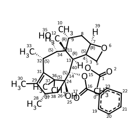 CC(=O)O[C@@]12CO[C@@H]1C[C@@H](C)[C@]1(C)[C@@H]2[C@H](OC(=O)c2ccccc2)[C@]2(O)C[C@H](C)C(C)=C([C@H](C)[C@@H]1O)C2(C)C